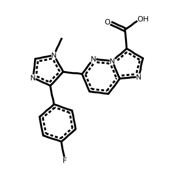 Cn1cnc(-c2ccc(F)cc2)c1-c1ccc2ncc(C(=O)O)n2n1